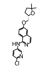 CC1(C)CC[C@@H](COc2ccc3c(Nc4ccc(Cl)nc4)nccc3c2)O1